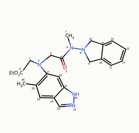 CCOC(=O)CN(CC(=O)N(C)N1Cc2ccccc2C1)c1cc2[nH]ncc2cc1C